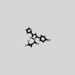 O=C(C1CC1(F)F)N1N=C(c2cccs2)CC1c1ccc(Cl)cc1